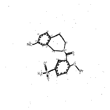 CC(C)Oc1ccc(S(C)(=O)=O)cc1C(=O)N1CCc2ccc(C#N)cc2C1